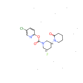 O=C(Oc1ccc(Cl)cn1)N1C[C@@H](F)C[C@@H](N2CCCCC2=O)C1